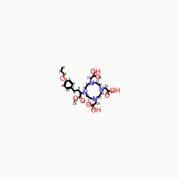 CCCOc1ccc(CCC(C(=O)OC)N2CCN(CC(=O)O)CCN(CC(=O)O)CCN(CC(=O)O)CC2)cc1